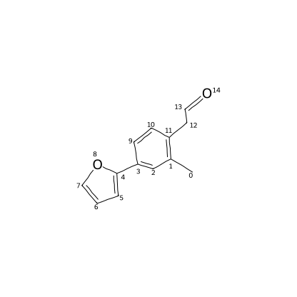 Cc1cc(-c2ccco2)ccc1CC=O